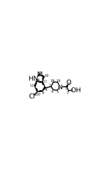 O=C(CO)N1CCC(c2cc(Cl)cc3[nH]ncc23)CC1